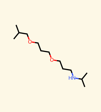 CC(C)COCCCOCCCNC(C)C